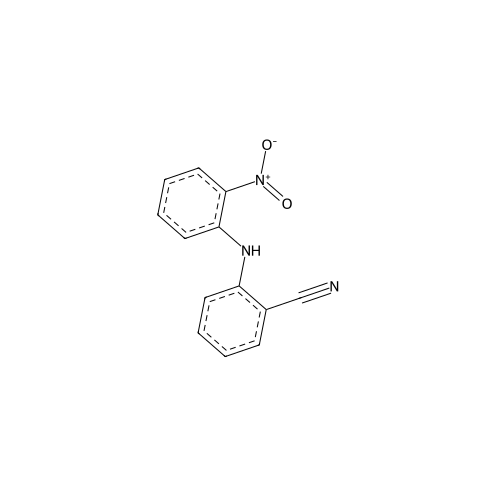 N#Cc1ccccc1Nc1ccccc1[N+](=O)[O-]